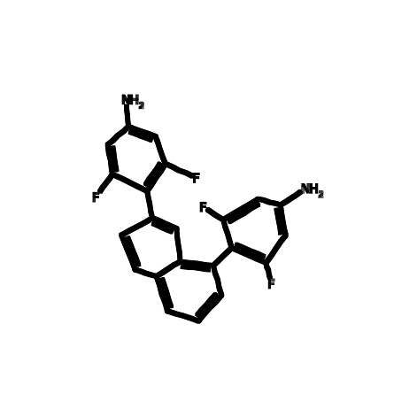 Nc1cc(F)c(-c2ccc3cccc(-c4c(F)cc(N)cc4F)c3c2)c(F)c1